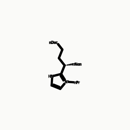 CCCCCCCCCCCC[C@H](CCCCCCCCC)c1[nH]cc[n+]1CCC